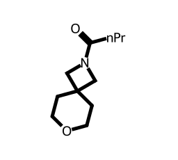 CCCC(=O)N1CC2(CCOCC2)C1